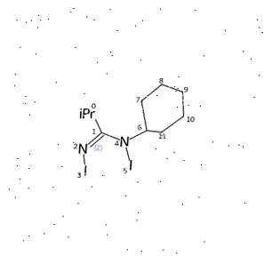 CC(C)/C(=N/I)N(I)C1CCCCC1